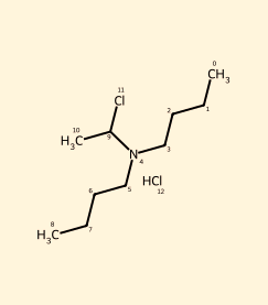 CCCCN(CCCC)C(C)Cl.Cl